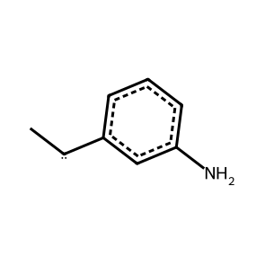 C[C]c1cccc(N)c1